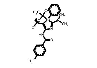 Cc1ccc(C(=O)NC2=C(C(=O)[O-])[N+](c3ccccc3)(C(C)(C)C)C(N(C)C)=N2)cc1